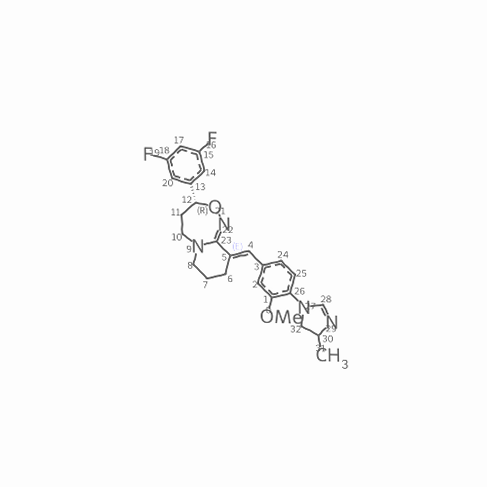 COc1cc(/C=C2\CCCN3CC[C@H](c4cc(F)cc(F)c4)ON=C23)ccc1N1C=NC(C)C1